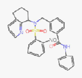 O=C(Nc1ccccc1)c1cccc(CN(C2CCCc3cccnc32)S(=O)(=O)c2ccccc2[N+](=O)[O-])c1